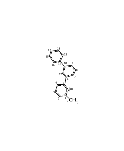 Cc1cccc(-c2cccc(-c3ccccc3)c2)n1